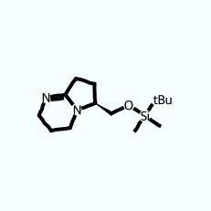 CC(C)(C)[Si](C)(C)OC[C@@H]1CCC2=NCCCN21